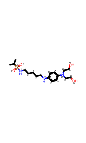 CC(C)S(=O)(=O)NCCCCCNc1ccc(N(CCO)CCO)cc1